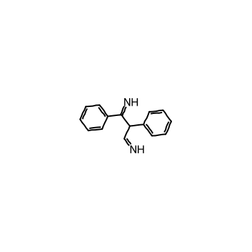 N=CC(C(=N)c1ccccc1)c1ccccc1